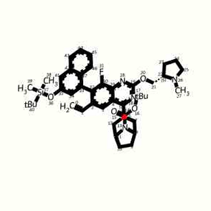 C=Cc1cc2c(N3CC4CCC(C3)N4C(=O)OC(C)(C)C)nc(OC[C@@H]3CCCN3C)nc2c(F)c1-c1cc(O[Si](C)(C)C(C)(C)C)cc2ccccc12